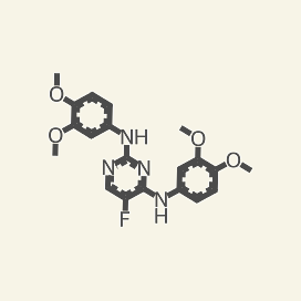 COc1ccc(Nc2ncc(F)c(Nc3ccc(OC)c(OC)c3)n2)cc1OC